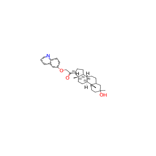 CC1(O)CC[C@@]2(C)C(CC[C@H]3[C@@H]4CC[C@H](C(=O)COc5ccc6ncccc6c5)[C@@]4(C)CC[C@@H]32)C1